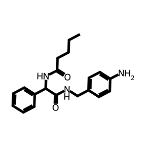 CCCCC(=O)NC(C(=O)NCc1ccc(N)cc1)c1ccccc1